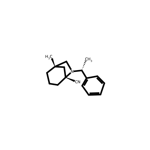 C[C@H](c1ccccc1)N1C[C@@]2(C)CCC[C@]1(C#N)C2